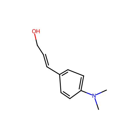 CN(C)c1ccc(/C=C/CO)cc1